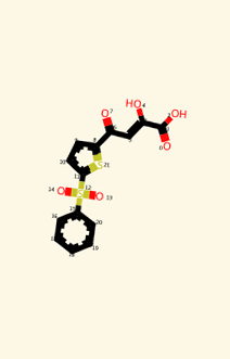 O=C(O)/C(O)=C/C(=O)c1ccc(S(=O)(=O)c2ccccc2)s1